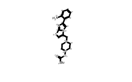 CC(C)(C)C(=O)ON1CCN(Cc2csc3nc(-c4ccccc4N)cn23)CC1